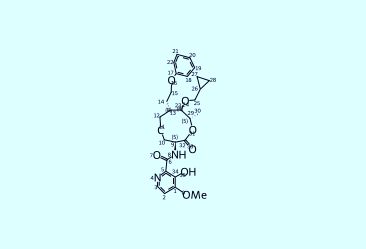 COc1ccnc(C(=O)N[C@H]2CCC[C@H](CCOc3ccccc3)[C@@H](OCC3CC3)[C@H](C)OC2=O)c1O